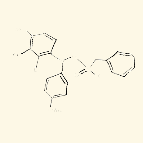 CCc1c(OC)ccc(N(OP(=O)(O)Cc2ccccc2)c2ccc(OC)cc2)c1CC